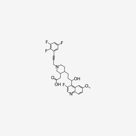 COc1ccc2ncc(F)c(C(O)CCC3CCN(CC#Cc4cc(F)cc(F)c4F)CC3CC(=O)O)c2c1